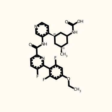 CCOc1cc(F)c(-c2nc(C(=O)Nc3cnccc3[C@H]3CC(NC(=O)O)C[C@@H](C)C3)ccc2F)c(F)c1